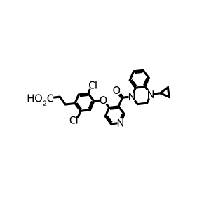 O=C(O)CCc1cc(Cl)c(Oc2ccncc2C(=O)N2CCN(C3CC3)c3ccccc32)cc1Cl